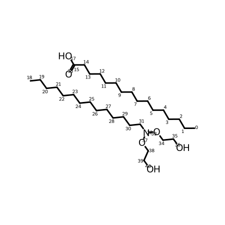 CCCCCCCCCCCCCCCC(=O)O.CCCCCCCCCCCCCCN(OCCO)OCCO